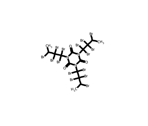 CC(Br)C(Br)(Br)C(Br)(Br)n1c(=O)n(C(Br)(Br)C(Br)(Br)C(C)Br)c(=O)n(C(Br)(Br)C(Br)(Br)C(C)Br)c1=O